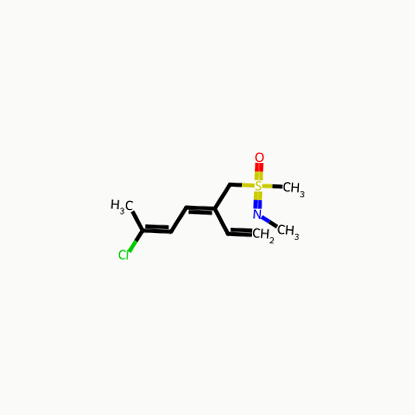 C=C/C(=C\C=C(/C)Cl)CS(C)(=O)=NC